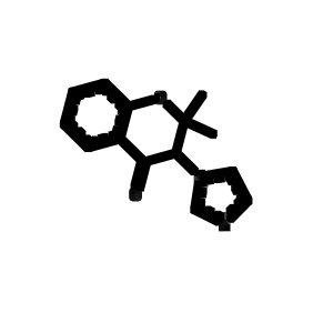 CC1(C)Oc2ccccc2C(=O)C1n1ccnc1